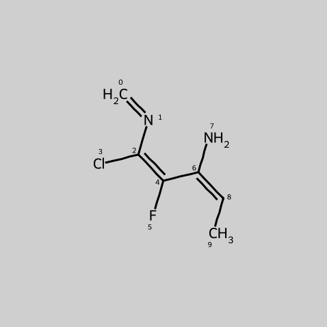 C=N/C(Cl)=C(F)\C(N)=C/C